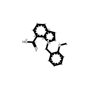 COc1ccccc1Cn1ccc2cccc(C(=O)O)c21